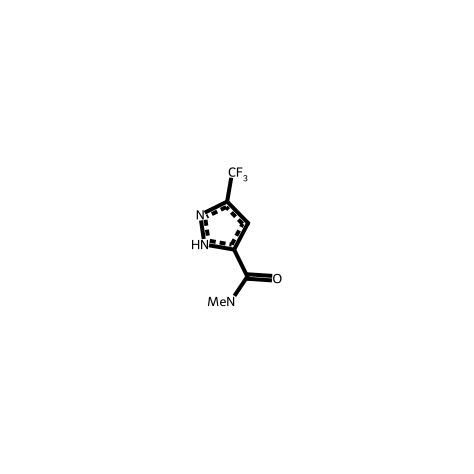 CNC(=O)c1cc(C(F)(F)F)n[nH]1